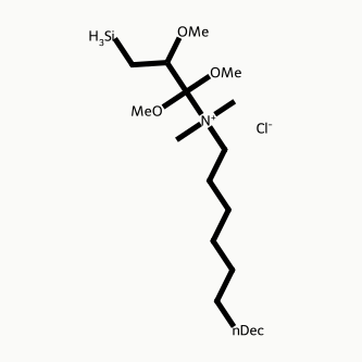 CCCCCCCCCCCCCCCC[N+](C)(C)C(OC)(OC)C(C[SiH3])OC.[Cl-]